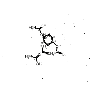 C=CC.NC(O)=S.NC(O)=S.O=COc1ccccc1